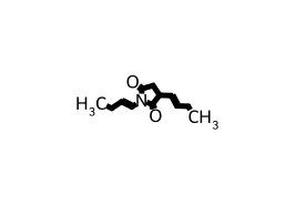 CC/C=C/C1CC(=O)N(/C=C/CC)C1=O